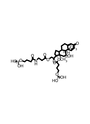 C[C@]12C=CC(=O)C=C1CCC1C3CC[C@](OC(=O)CCCON(O)O)(C(=O)COC(=O)CCNC(=O)CCCON(O)O)[C@@]3(C)C[C@H](O)[C@@H]12